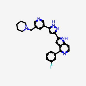 Fc1cccc(-c2nccc3[nH]c(-c4cc(-c5cncc(CN6CCCCC6)c5)[nH]n4)cc23)c1